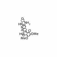 COc1cc(OC)c(Cl)c(N2Cc3cnc(NC4COCC4N)nc3N(C)C2O)c1Cl